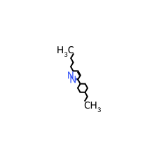 CCCCCc1ccc(C2CCC(CCC)CC2)nn1